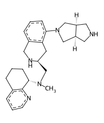 CN(C[C@@H]1Cc2c(cccc2N2C[C@H]3CNC[C@H]3C2)CN1)[C@H]1CCCc2cccnc21